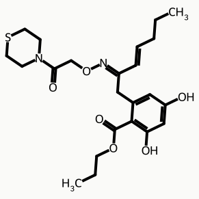 CCC/C=C/C(Cc1cc(O)cc(O)c1C(=O)OCCC)=N/OCC(=O)N1CCSCC1